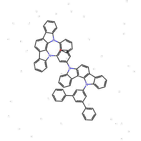 c1ccc(-c2cc(-c3ccccc3)cc(-n3c4ccccc4c4ccc5c(c6ccccc6n5-c5cccc(-n6c7ccccc7c7ccc8c9ccccc9n(-c9ccccc9)c8c76)c5)c43)c2)cc1